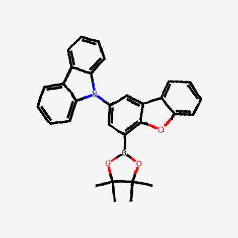 CC1(C)OB(c2cc(-n3c4ccccc4c4ccccc43)cc3c2oc2ccccc23)OC1(C)C